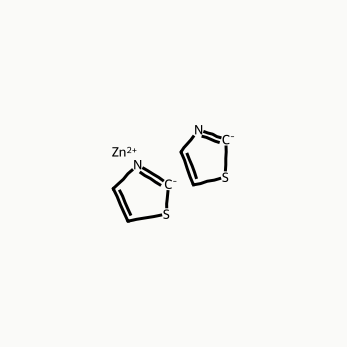 [Zn+2].[c-]1nccs1.[c-]1nccs1